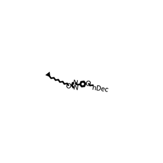 CCCCCCCCCCCCOc1ccc(-c2ncc(OCCCCCCCCC3CC3)cn2)cc1